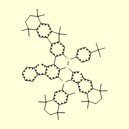 Cc1cc2c(cc1N1c3cc4c(oc5ccccc54)c4c3B(c3oc5cc6c(cc5c31)C(C)(C)CCC6(C)C)N(c1ccc(C(C)(C)C)cc1)c1cc3c(cc1-4)-c1cc4c(cc1C3(C)C)C(C)(C)CCC4(C)C)C(C)(C)CCC2(C)C